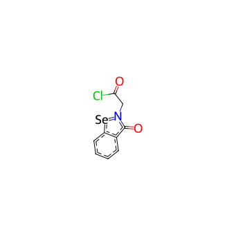 O=C(Cl)Cn1[se]c2ccccc2c1=O